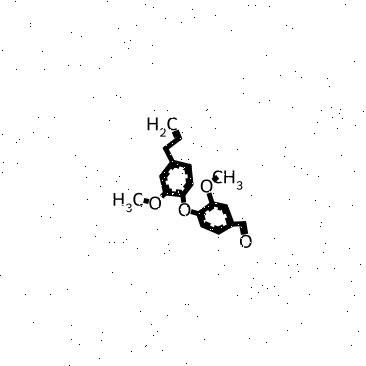 C=CCc1ccc(Oc2ccc(C=O)cc2OC)c(OC)c1